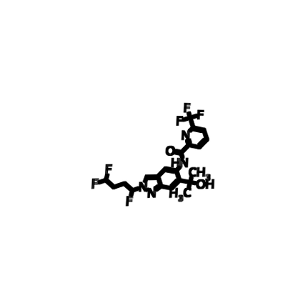 CC(C)(O)c1cc2nn(C(F)CCC(F)F)cc2cc1NC(=O)c1cccc(C(F)(F)F)n1